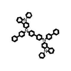 C1=CCCC(n2c3ccccc3c3cc(N(c4ccc(-c5ccccc5)cc4)c4ccc(-c5ccc(N(C6=CCC(c7ccccc7)C=C6)c6ccc7c(c6)c6ccccc6n7C6=CCCC=C6)cc5)cc4)ccc32)=C1